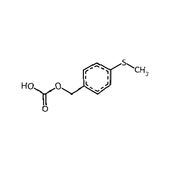 CSc1ccc(COC(=O)O)cc1